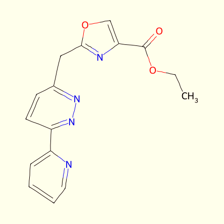 CCOC(=O)c1coc(Cc2ccc(-c3ccccn3)nn2)n1